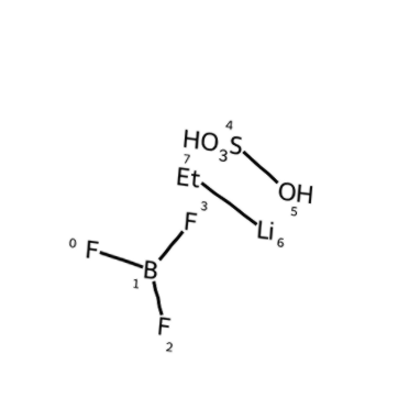 FB(F)F.O=S(=O)(O)O.[Li][CH2]C